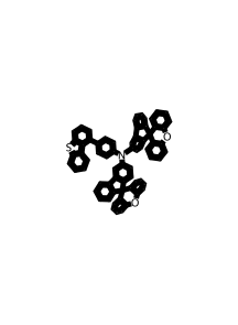 c1ccc2c(c1)Oc1ccccc1C21c2ccccc2-c2cc(N(c3ccc(-c4cccc5sc6ccccc6c45)cc3)c3ccc4c(c3)-c3ccccc3C43c4ccccc4Oc4ccccc43)ccc21